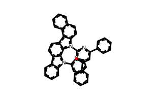 c1ccc(-c2cc(-c3ccccc3)nc(-n3c4ccc5ccccc5c4c4ccc5c6ccccc6n(-c6ccccc6)c5c43)n2)cc1